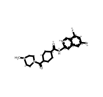 CN1CCN(C(=O)C2CCC(C(=O)Nc3cc4cc(Br)cc(F)c4cn3)CC2)CC1